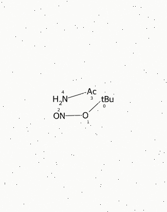 CC(C)(C)ON=O.CC(N)=O